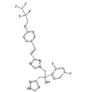 OC(Cc1nc[nH]n1)(Cn1cnc(C=Cc2ccc(OCC(F)(F)C(F)F)cc2)n1)c1ccc(F)cc1F